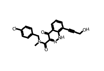 CN(Cc1ccc(Cl)cc1)C(=O)c1n[nH]c2c(C#CCO)cccc2c1=O